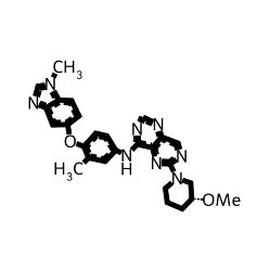 CO[C@@H]1CCCN(c2ncc3ncnc(Nc4ccc(Oc5ccc6c(c5)ncn6C)c(C)c4)c3n2)C1